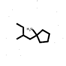 CCC(C)CC1([SiH3])CCCC1